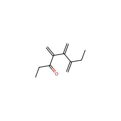 C=C(CC)C(=C)C(=C)C(=O)CC